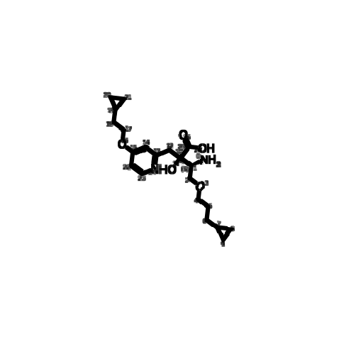 N[C@@H](COCCCC1CC1)[C@](O)(Cc1cc(OCCC2CC2)ccn1)C(=O)O